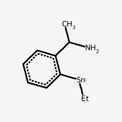 C[CH2][Sn][c]1ccccc1C(C)N